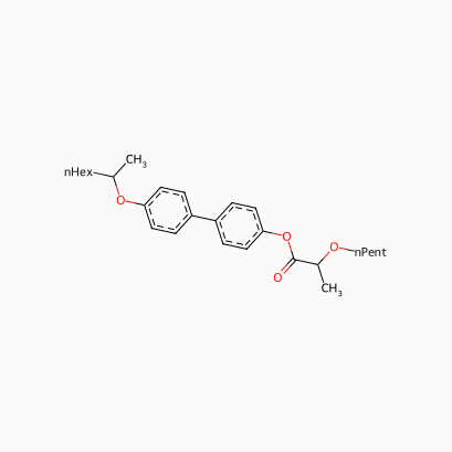 CCCCCCC(C)Oc1ccc(-c2ccc(OC(=O)C(C)OCCCCC)cc2)cc1